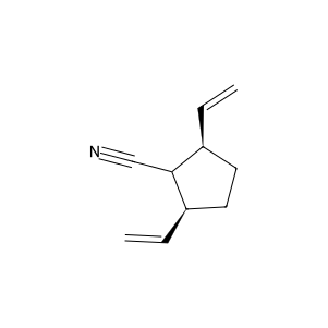 C=C[C@@H]1CC[C@H](C=C)C1C#N